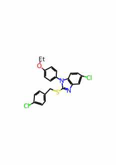 CCOc1ccc(-n2c(SCc3ccc(Cl)cc3)nc3cc(Cl)ccc32)cc1